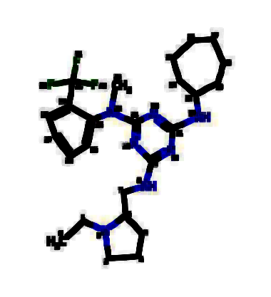 CCN1CCCC1CNc1nc(NC2CCCCCC2)nc(N(C)c2ccccc2C(F)(F)F)n1